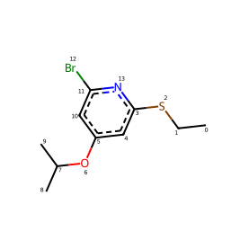 CCSc1cc(OC(C)C)cc(Br)n1